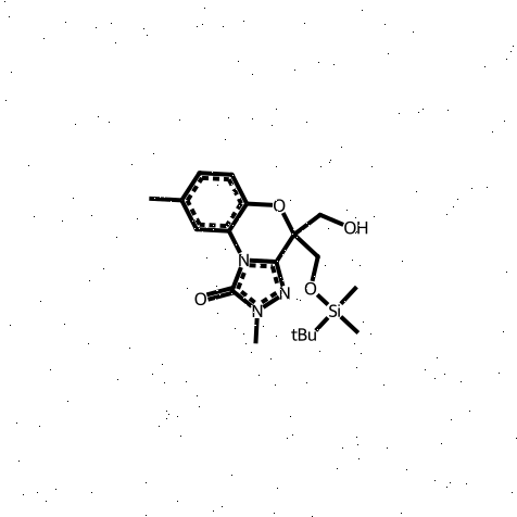 Cc1ccc2c(c1)-n1c(nn(C)c1=O)C(CO)(CO[Si](C)(C)C(C)(C)C)O2